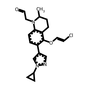 CC1CCc2c(ccc(-c3cnn(C4CC4)c3)c2OC=CCl)N1CC=O